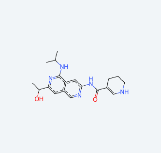 CC(C)Nc1nc(C(C)O)cc2cnc(NC(=O)C3=CNCCC3)cc12